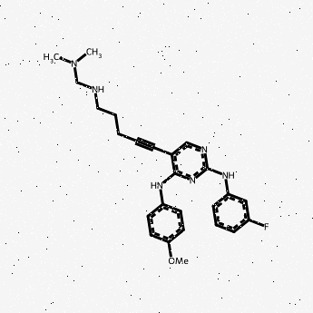 COc1ccc(Nc2nc(Nc3cccc(F)c3)ncc2C#CCCCNCN(C)C)cc1